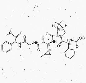 CC(C)COC(=O)N[C@H](C(=O)N1C[C@H]2[C@@H]([C@H]1C(=O)N[C@H](C(=O)C(=O)NCC(=O)NC(C(=O)N(C)C)c1ccccc1)[C@H]1CC1C)C2(C)C)C1CCCCC1